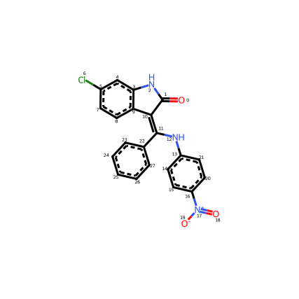 O=C1Nc2cc(Cl)ccc2/C1=C(/Nc1ccc([N+](=O)[O-])cc1)c1ccccc1